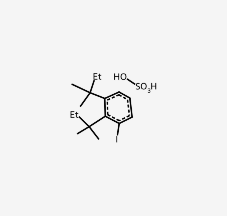 CCC(C)(C)c1cccc(I)c1C(C)(C)CC.O=S(=O)(O)O